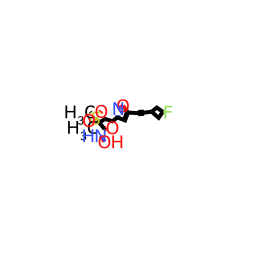 CC(CCc1cc(C#CC2CC(F)C2)on1)(C(=O)NO)S(C)(=O)=O